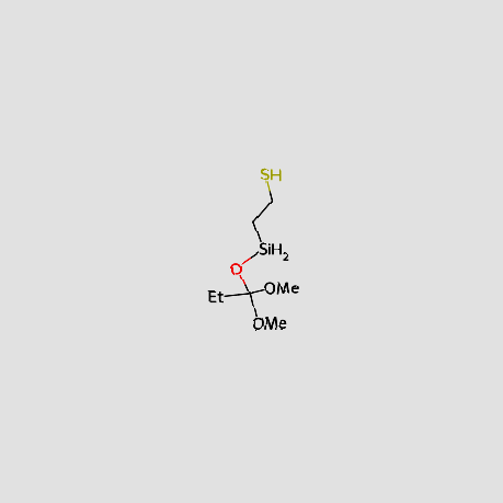 CCC(OC)(OC)O[SiH2]CCS